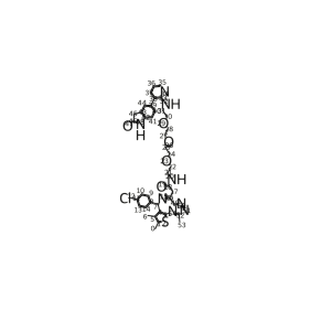 Cc1sc2c(c1C)C(c1ccc(Cl)cc1)=N[C@@H](CC(=O)NCCOCCOCCOCCNc1ncccc1-c1ccc3c(c1)CC(=O)N3)c1nnc(C)n1-2